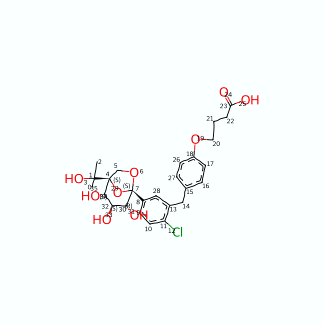 CC(C)(O)[C@@]12CO[C@@](c3ccc(Cl)c(Cc4ccc(OCCCC(=O)O)cc4)c3)(O1)[C@H](O)[C@@H](O)[C@@H]2O